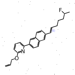 C=CCOc1cccc(-c2ccc3cc(/C=C/CCCC(C)F)ccc3c2)n1